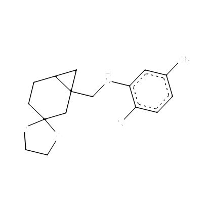 N#Cc1ccc(N)c(NCC23CC2CCC2(C3)OCCO2)c1